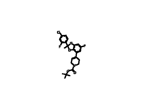 CC(C)(C)OC(=O)N1CC=C(c2cc(F)cc3c2OC(C)(c2ccc(Cl)cc2F)O3)CC1